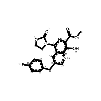 COC(=O)c1nc(N2CCOC2=O)c2cc(Cc3ccc(F)cc3)cnc2c1O